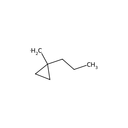 [CH2]C1(CCC)CC1